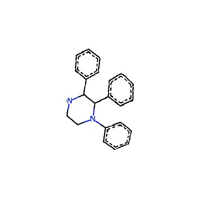 c1ccc(C2[N]CCN(c3ccccc3)C2c2ccccc2)cc1